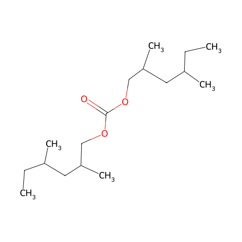 CCC(C)CC(C)COC(=O)OCC(C)CC(C)CC